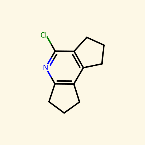 Clc1nc2c(c3c1CCC3)CCC2